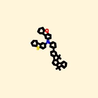 CC1(C)c2ccccc2-c2c1ccc1c2C(C)(C)c2cc(-c3cccc(N(c4ccc5oc6ccccc6c5c4)c4ccc5sc6ccccc6c5c4)c3)ccc2-1